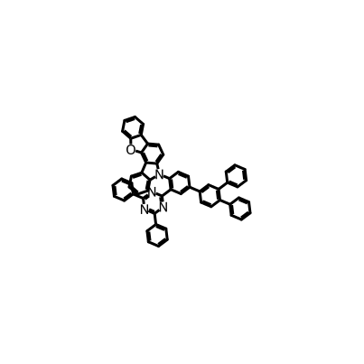 c1ccc(-c2nc(-c3ccccc3)nc(-c3cc(-c4ccc(-c5ccccc5)c(-c5ccccc5)c4)ccc3-n3c4ccccc4c4c5oc6ccccc6c5ccc43)n2)cc1